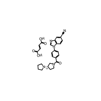 N#Cc1ccc2c(c1)ncn2-c1ccc(C(=O)N2CC[C@H](N3CCCC3)C2)cc1.O=C(O)C=CC(=O)O